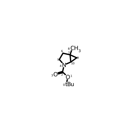 CC(C)(C)OC(=O)N1CCC2(C)CC12